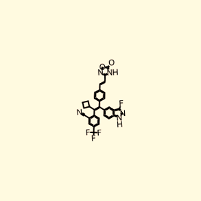 N#Cc1cc(C(F)(F)F)ccc1C(=C(c1ccc(C=Cc2noc(=O)[nH]2)cc1)c1ccc2[nH]nc(F)c2c1)C1CCC1